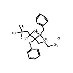 CCOCC(Oc1ccccc1)(C(C)(C)CC(C)(C)C)[N+](C)(C)Cc1ccccc1.[Cl-]